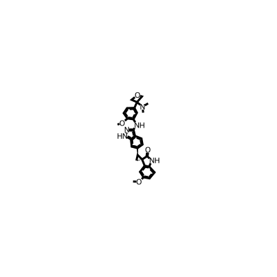 COc1ccc2c(c1)[C@]1(C[C@H]1c1ccc3c(Nc4cc(C5(N(C)C)COC5)ccc4OC)n[nH]c3c1)C(=O)N2